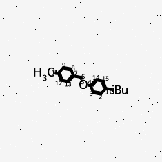 CCC(C)c1ccc(OCc2ccc(C)cc2)cc1